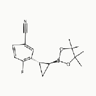 CC1(C)OB([C@H]2C[C@@H]2c2cc(C#N)ccc2F)OC1(C)C